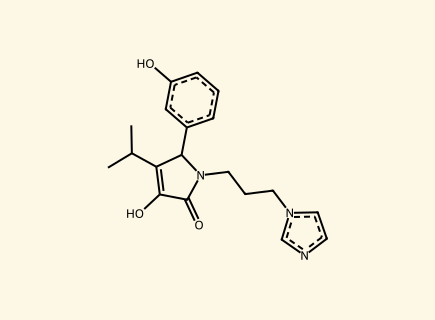 CC(C)C1=C(O)C(=O)N(CCCn2ccnc2)C1c1cccc(O)c1